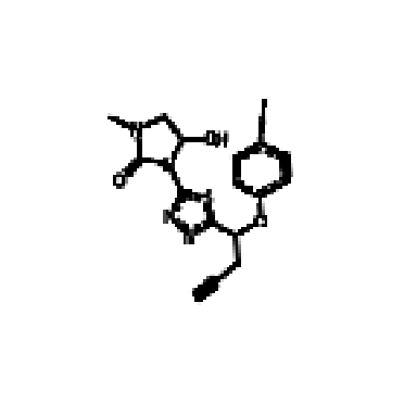 C#CCC(Oc1ccc(I)cc1)c1nnc(N2C(=O)N(C)CC2O)s1